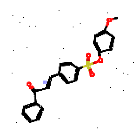 COc1ccc(OS(=O)(=O)c2ccc(/C=C/C(=O)c3ccccc3)cc2)cc1